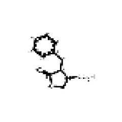 O=C1OCN(C(=O)O)C1Cc1ccccc1